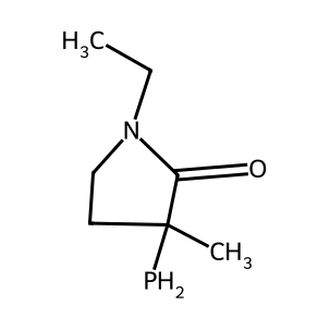 CCN1CCC(C)(P)C1=O